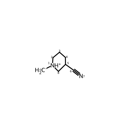 [CH2-][NH+]1CCCC(C#N)C1